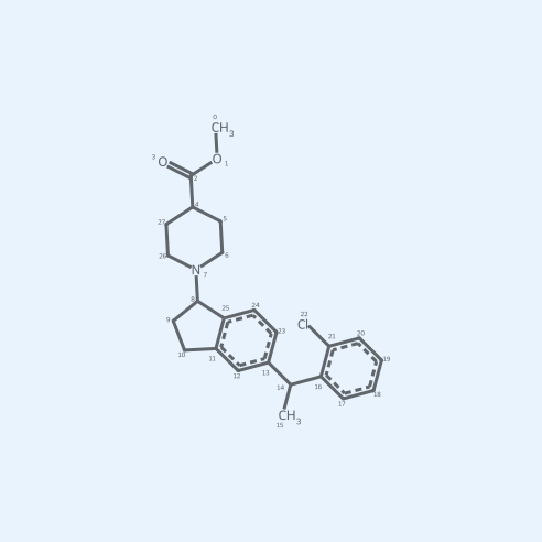 COC(=O)C1CCN(C2CCc3cc(C(C)c4ccccc4Cl)ccc32)CC1